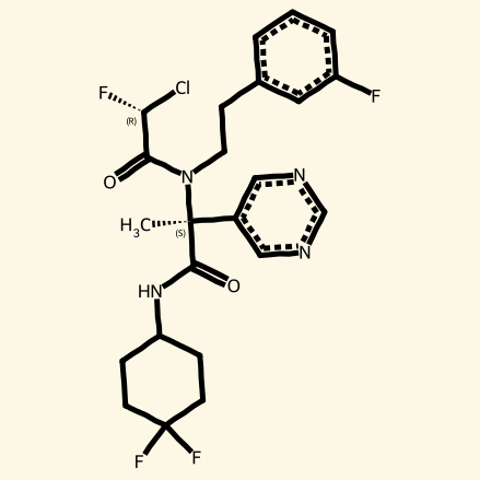 C[C@@](C(=O)NC1CCC(F)(F)CC1)(c1cncnc1)N(CCc1cccc(F)c1)C(=O)[C@H](F)Cl